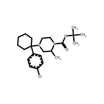 CC1CN(C2(c3ccc(Cl)cc3)CCCCC2)CCN1C(=O)OC(C)(C)C